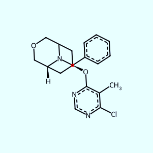 Cc1c(Cl)ncnc1O[C@@H]1CC2COC[C@@H](C1)N2Cc1ccccc1